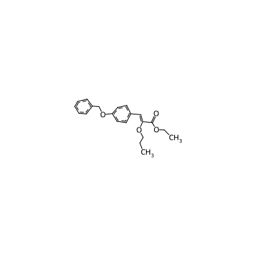 CCCOC(=Cc1ccc(OCc2ccccc2)cc1)C(=O)OCC